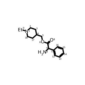 CCN1CCC(COC(=O)C(N)c2ccccc2)CC1